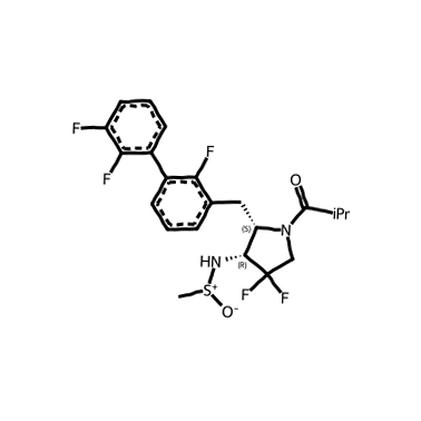 CC(C)C(=O)N1CC(F)(F)[C@H](N[S+](C)[O-])[C@@H]1Cc1cccc(-c2cccc(F)c2F)c1F